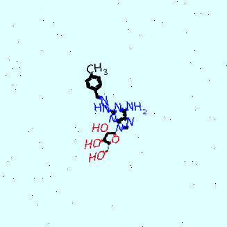 Cc1ccc(C=NNc2nc(N)c3ncn([C@@H]4O[C@H](CO)C(O)C4O)c3n2)cc1